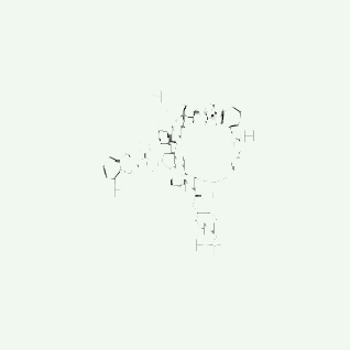 C=C[C@@H]1C[C@@]12NC(=O)[C@@H]1C[C@@H](OC(=O)N3Cc4cccc(F)c4C3)CN1C(=O)[C@@H](NC(=O)CC1CCN(CC(F)F)CC1)CCCCCCCNc1ccccc1S(=O)(=O)NC2=O